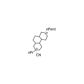 CCCCC[C@@H]1CCC2C(CCC3C[C@](C#N)(CCC)CCC32)C1